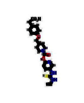 CC(C)(C)NC(=S)Nc1ccc(OC(=O)N2CCC(COc3ccc(CC(=O)O)cc3)CC2)nc1